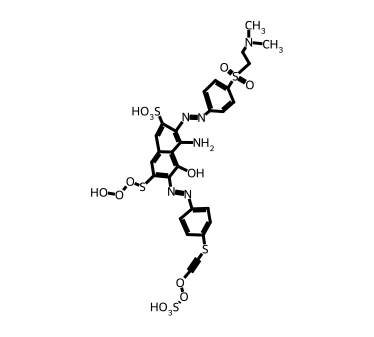 CN(C)CCS(=O)(=O)c1ccc(N=Nc2c(S(=O)(=O)O)cc3cc(SOOO)c(N=Nc4ccc(SC#COOS(=O)(=O)O)cc4)c(O)c3c2N)cc1